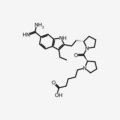 CCc1c(CC[C@@H]2CCCN2C(=O)[C@H]2CCCN2CCCCC(=O)O)[nH]c2cc(C(=N)N)ccc12